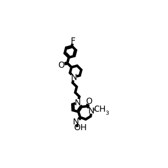 CN1CCC(=NO)c2ccn(CCCCN3CCCC(C(=O)c4ccc(F)cc4)C3)c2C1=O